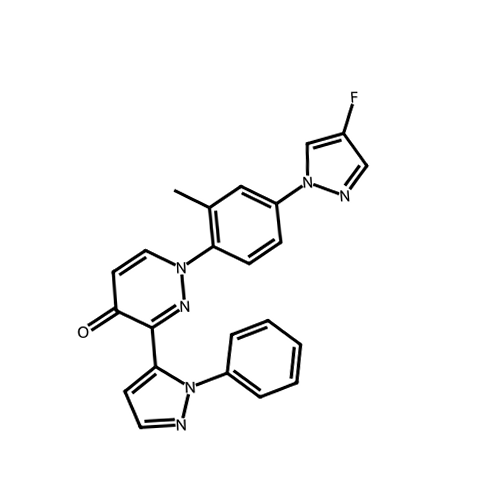 Cc1cc(-n2cc(F)cn2)ccc1-n1ccc(=O)c(-c2ccnn2-c2ccccc2)n1